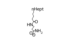 CCCCCCCCCCCC(=O)NCCC1(N)OO1